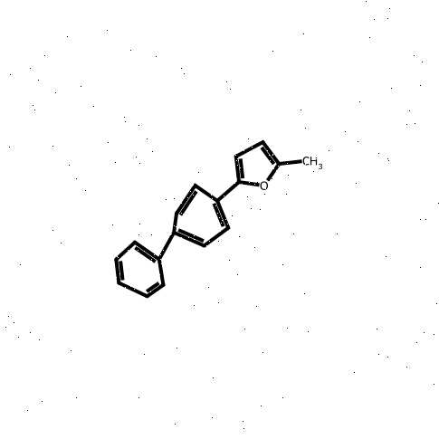 Cc1ccc(-c2ccc(-c3ccccc3)cc2)o1